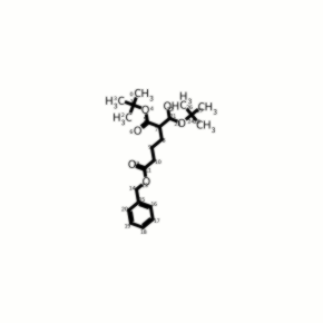 CC(C)(C)OC(=O)C(CCCC(=O)OCc1ccccc1)C(O)OC(C)(C)C